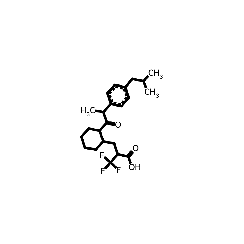 CC(C)Cc1ccc(C(C)C(=O)C2CCCCC2CC(C(=O)O)C(F)(F)F)cc1